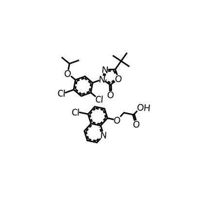 CC(C)Oc1cc(-n2nc(C(C)(C)C)oc2=O)c(Cl)cc1Cl.O=C(O)COc1ccc(Cl)c2cccnc12